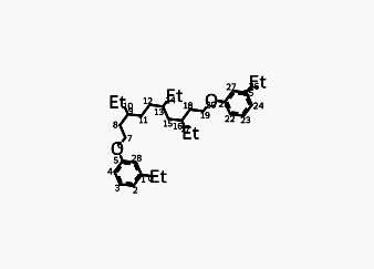 CCc1cccc(OCCC(CC)CCC(CC)CC(CC)CCOc2cccc(CC)c2)c1